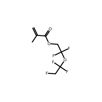 C=C(C)C(=O)OCC(F)(F)OC(F)(F)CF